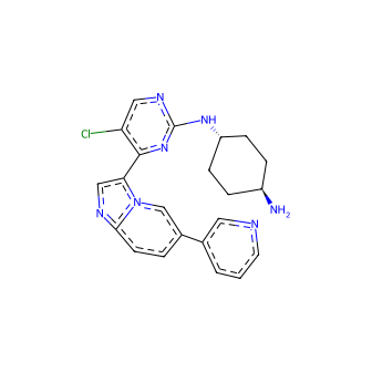 N[C@H]1CC[C@H](Nc2ncc(Cl)c(-c3cnc4ccc(-c5cccnc5)cn34)n2)CC1